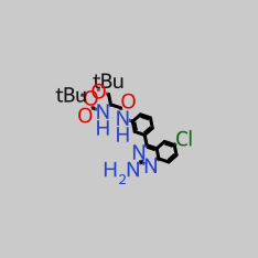 CC(C)(C)OCC(NC(=O)OC(C)(C)C)C(=O)Nc1cccc(-c2nc(N)nc3ccc(Cl)cc23)c1